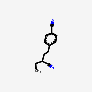 CCC(C#N)CCc1ccc(C#N)cc1